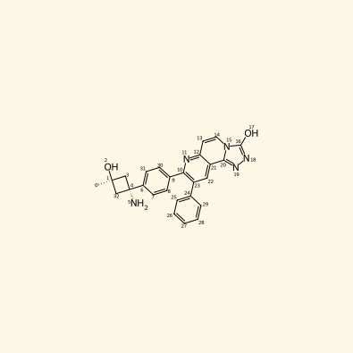 C[C@]1(O)C[C@@](N)(c2ccc(-c3nc4ccn5c(O)nnc5c4cc3-c3ccccc3)cc2)C1